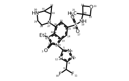 CCn1c(=O)n(-c2nnc(C(F)F)s2)c2cc(S(=O)(=O)NC3(C)COC3)cc(N3CCNC4CC43)c21